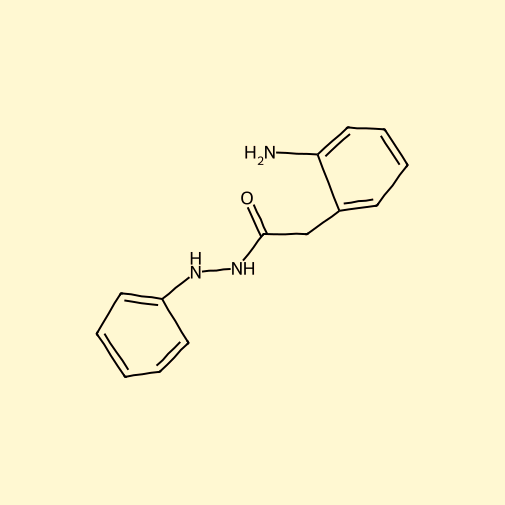 Nc1ccccc1CC(=O)NNc1ccccc1